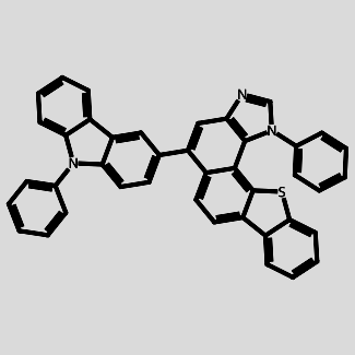 c1ccc(-n2cnc3cc(-c4ccc5c(c4)c4ccccc4n5-c4ccccc4)c4ccc5c6ccccc6sc5c4c32)cc1